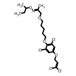 CCC(C)ON=C(C)COCCCCCOc1c(Cl)cc(OCC=C(Cl)Cl)cc1Cl